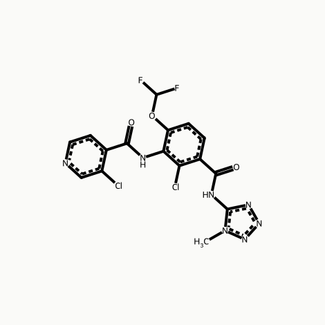 Cn1nnnc1NC(=O)c1ccc(OC(F)F)c(NC(=O)c2ccncc2Cl)c1Cl